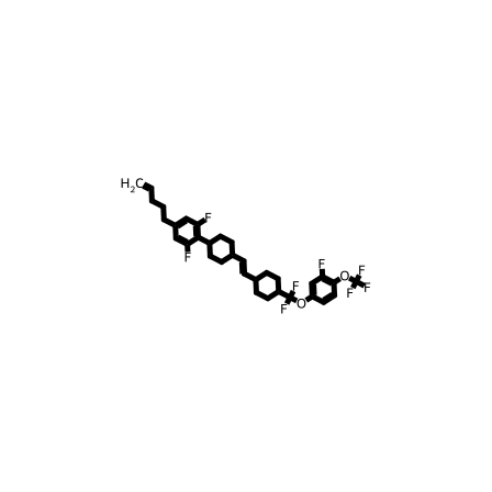 C=CCCCc1cc(F)c(C2CCC(/C=C/C3CCC(C(F)(F)Oc4ccc(OC(F)(F)F)c(F)c4)CC3)CC2)c(F)c1